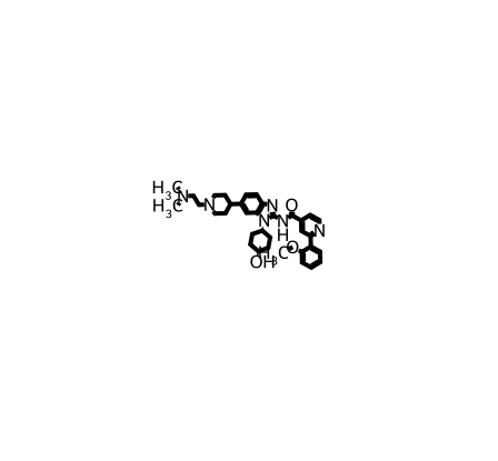 COc1ccccc1-c1cc(C(=O)Nc2nc3ccc(C4CCN(CCN(C)C)CC4)cc3n2[C@H]2CC[C@@H](O)CC2)ccn1